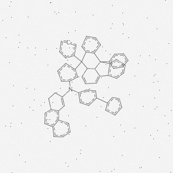 C1=CC2C3C(=C1)c1ccccc1C3(c1ccccc1)c1ccccc1C2(c1ccccc1)c1cccc(N(C2=Cc3c(ccc4ccccc34)CC2)c2ccc(-c3ccccc3)cc2)c1